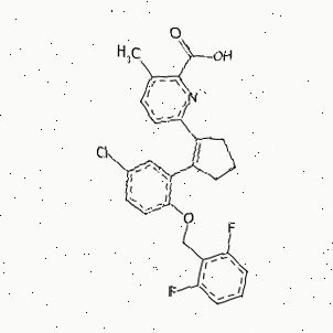 Cc1ccc(C2=C(c3cc(Cl)ccc3OCc3c(F)cccc3F)CCC2)nc1C(=O)O